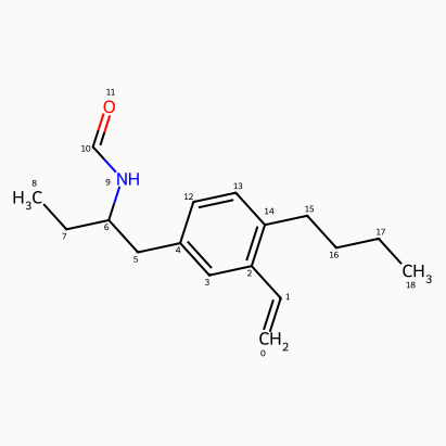 C=Cc1cc(CC(CC)NC=O)ccc1CCCC